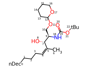 CCCCCCCCCCCCC/C=C(/C)[C@H](O)[C@@H](COC1CCCCO1)NC(=O)OC(C)(C)C